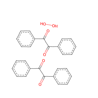 O=C(C(=O)c1ccccc1)c1ccccc1.O=C(C(=O)c1ccccc1)c1ccccc1.OO